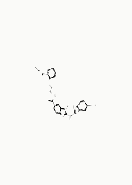 CCOC(=O)c1ccccc1OCCNC(=O)c1ccc2nc(C(C)c3nc4cc(O)ccc4[nH]3)n(C)c2c1